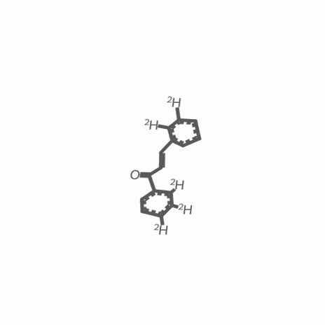 [2H]c1cccc(C=CC(=O)c2ccc([2H])c([2H])c2[2H])c1[2H]